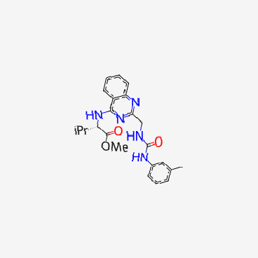 COC(=O)[C@@H](Nc1nc(CNC(=O)Nc2cccc(C)c2)nc2ccccc12)C(C)C